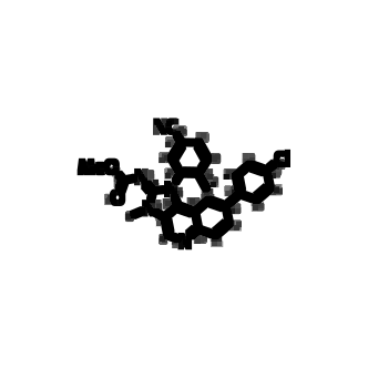 COC(=O)N=c1n(C)c2cnc3ccc(-c4ccc(Cl)cc4)cc3c2n1-c1cc(C#N)ccc1C